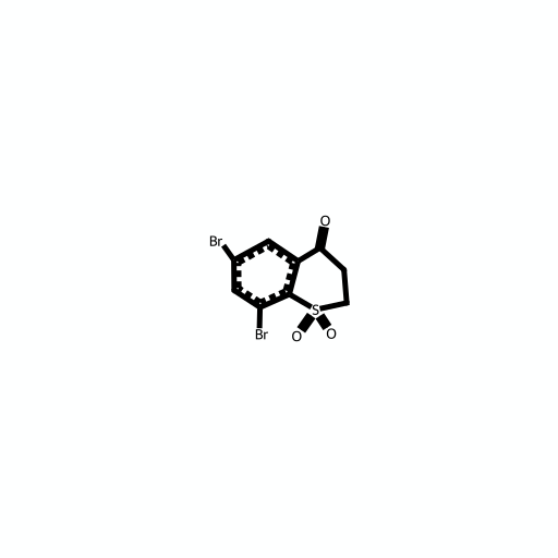 O=C1CCS(=O)(=O)c2c(Br)cc(Br)cc21